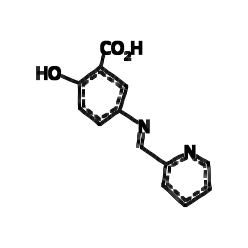 O=C(O)c1cc(N=Cc2ccccn2)ccc1O